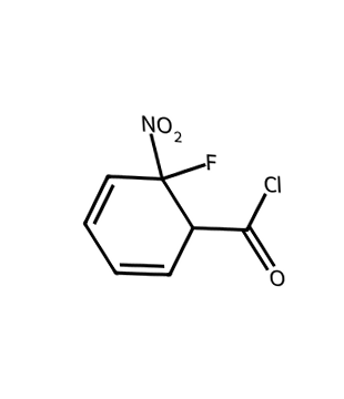 O=C(Cl)C1C=CC=CC1(F)[N+](=O)[O-]